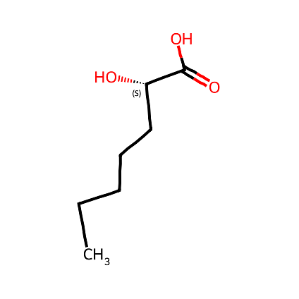 CCCCC[C@H](O)C(=O)O